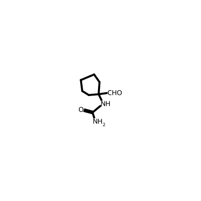 NC(=O)NC1(C=O)CCCCC1